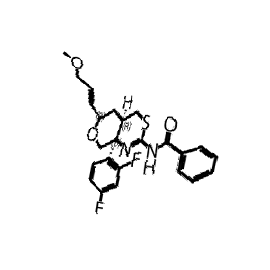 COCC=C[C@H]1C[C@H]2CSC(NC(=O)c3ccccc3)=N[C@@]2(c2ccc(F)cc2F)CO1